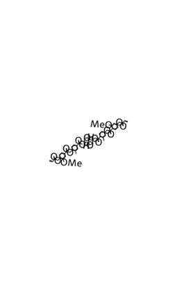 C=CC(=O)Oc1ccc(C(=O)Oc2ccc(C(=O)O[C@H]3CO[C@H]4[C@@H]3OC[C@H]4OC(=O)c3ccc(OC(=O)c4ccc(OC(=O)C=C)c(OC)c4)c(C)c3)c(C)c2)c(OC)c1